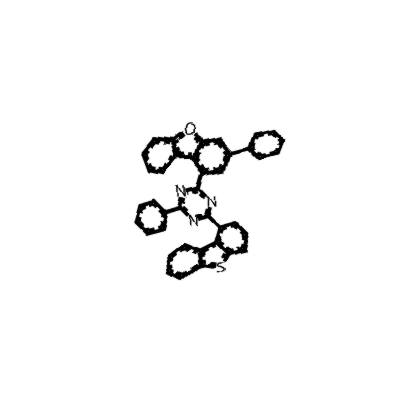 c1ccc(-c2cc(-c3nc(-c4ccccc4)nc(-c4cccc5sc6ccccc6c45)n3)c3c(c2)oc2ccccc23)cc1